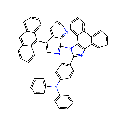 c1ccc(N(c2ccccc2)c2ccc(-c3nc4c5ccccc5c5ccccc5c4n3-c3ncc(-c4c5ccccc5cc5ccccc45)c4cccnc34)cc2)cc1